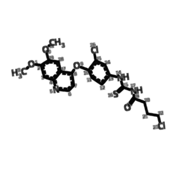 COc1cc2nccc(Oc3ccc(NC(=S)NC(=O)CCCCl)cc3Cl)c2cc1OC